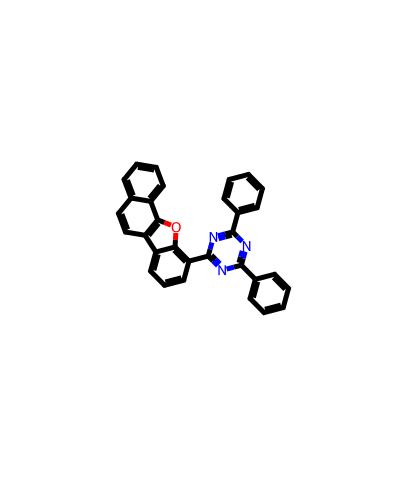 c1ccc(-c2nc(-c3ccccc3)nc(-c3cccc4c3oc3c5ccccc5ccc43)n2)cc1